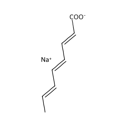 CC=CC=CC=CC(=O)[O-].[Na+]